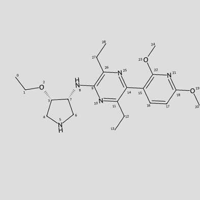 CCO[C@H]1CNC[C@H]1Nc1nc(CC)c(-c2ccc(OC)nc2OC)nc1CC